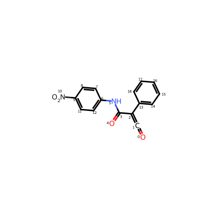 O=C=C(C(=O)Nc1ccc([N+](=O)[O-])cc1)c1ccccc1